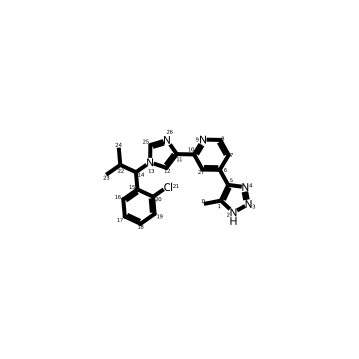 Cc1[nH]nnc1-c1ccnc(-c2cn(C(c3ccccc3Cl)C(C)C)cn2)c1